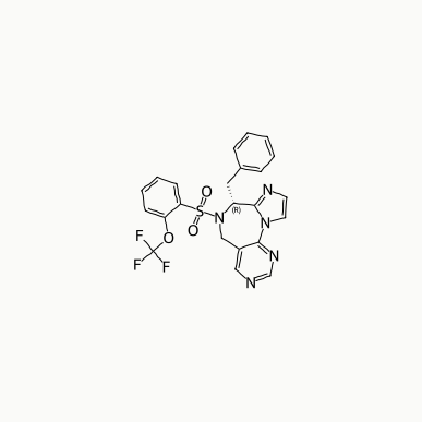 O=S(=O)(c1ccccc1OC(F)(F)F)N1Cc2cncnc2-n2ccnc2[C@H]1Cc1ccccc1